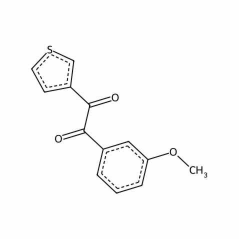 COc1cccc(C(=O)C(=O)c2ccsc2)c1